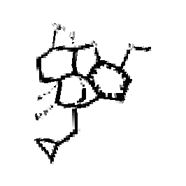 COc1ccc2c3c1O[C@@H]1[C@H](O)CC[C@@H]4[C@H](C2)N(CC2CC2)CC[C@]341